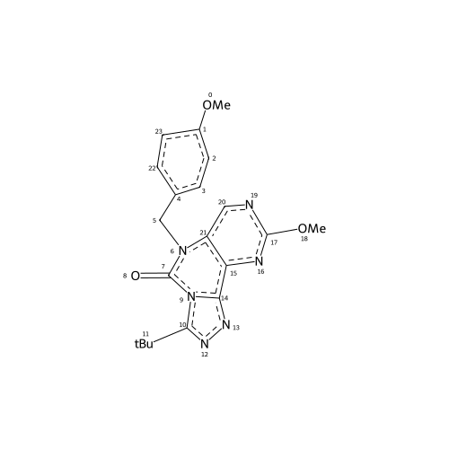 COc1ccc(Cn2c(=O)n3c(C(C)(C)C)nnc3c3nc(OC)ncc32)cc1